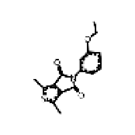 CCOc1cccc(N2C(=O)c3c(C)sc(C)c3C2=O)c1